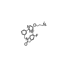 CN(C)CCCOc1cnc(-c2cccc(CN3C(=O)Cc4cc(F)c(F)cc43)c2)nc1